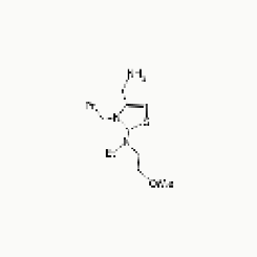 CCN(CCOC)C1SC=C(CN)N1CC(C)C